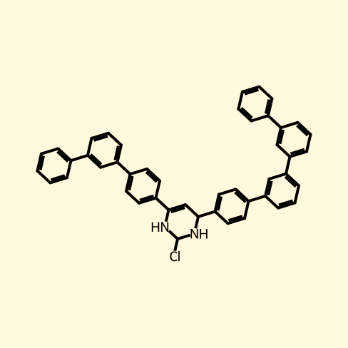 ClC1NC(c2ccc(-c3cccc(-c4ccccc4)c3)cc2)=CC(c2ccc(-c3cccc(-c4cccc(-c5ccccc5)c4)c3)cc2)N1